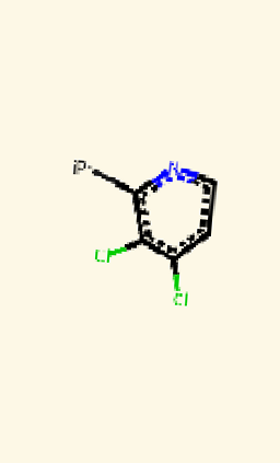 CC(C)c1nccc(Cl)c1Cl